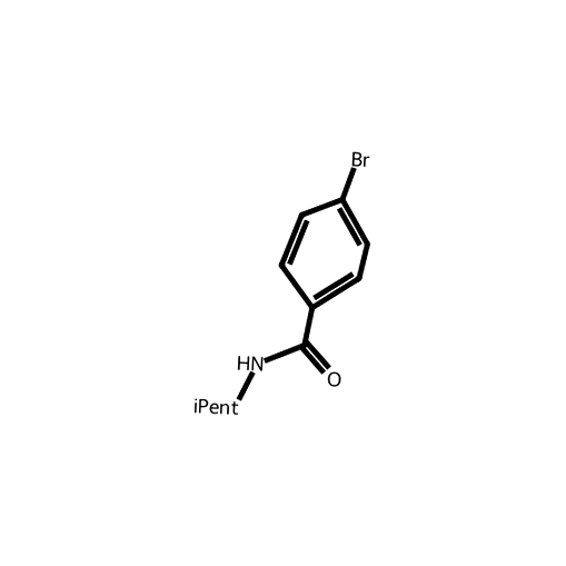 CCCC(C)NC(=O)c1ccc(Br)cc1